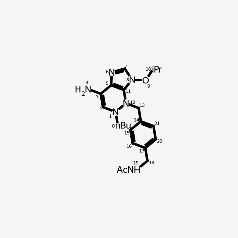 CCCCN1C=C(N)c2ncn(OC(C)C)c2N1Cc1ccc(CNC(C)=O)cc1